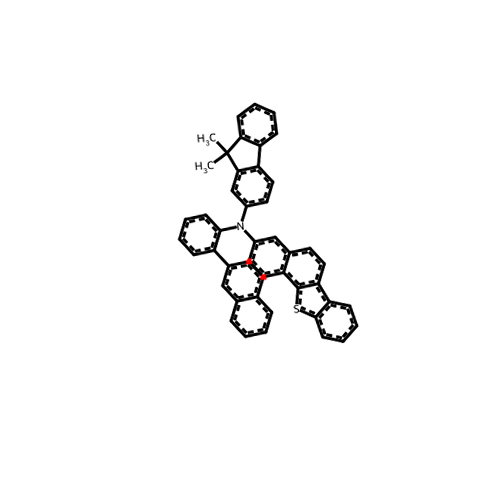 CC1(C)c2ccccc2-c2ccc(N(c3ccc4c(ccc5c6ccccc6sc45)c3)c3ccccc3-c3ccc4ccccc4c3)cc21